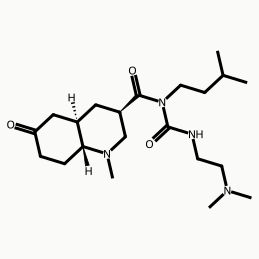 CC(C)CCN(C(=O)NCCN(C)C)C(=O)[C@@H]1C[C@@H]2CC(=O)CC[C@H]2N(C)C1